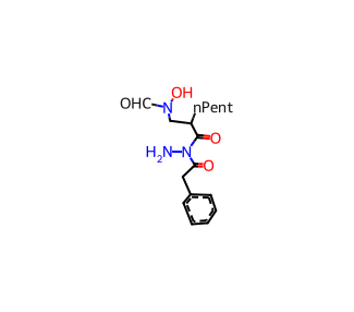 CCCCCC(CN(O)C=O)C(=O)N(N)C(=O)Cc1ccccc1